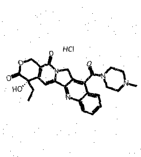 CC[C@@]1(O)C(=O)OCc2c1cc1n(c2=O)Cc2c-1nc1ccccc1c2C(=O)N1CCN(C)CC1.Cl